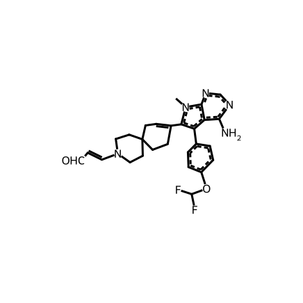 Cn1c(C2=CCC3(CC2)CCN(C=CC=O)CC3)c(-c2ccc(OC(F)F)cc2)c2c(N)ncnc21